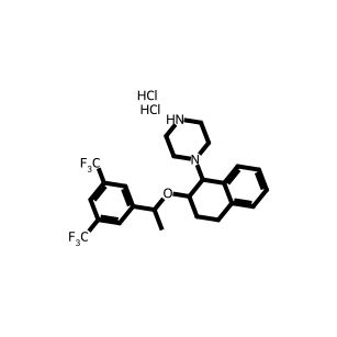 CC(OC1CCc2ccccc2C1N1CCNCC1)c1cc(C(F)(F)F)cc(C(F)(F)F)c1.Cl.Cl